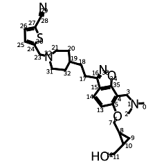 CN(C)Cc1c(OCC2CC2CO)ccc2c(CCC3CCN(Cc4ccc(C#N)s4)CC3)noc12